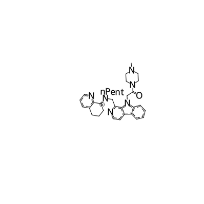 CCCCCN(Cc1nccc2c3ccccc3n(CC(=O)N3CCN(C)CC3)c12)[C@H]1CCCc2cccnc21